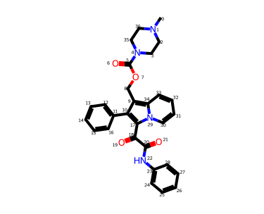 CN1CCN(C(=O)OCc2c(-c3ccccc3)c(C(=O)C(=O)Nc3ccccc3)n3ccccc23)CC1